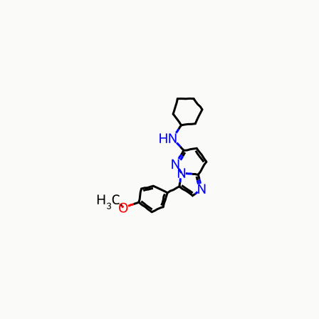 COc1ccc(-c2cnc3ccc(NC4CCCCC4)nn23)cc1